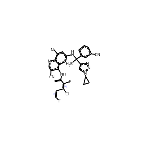 BC(Nc1cc(Cl)c2ncc(C#N)c(NC(=C)/C(F)=C(Cl)\C=C/F)c2c1)(c1cccc(C#N)c1)c1cn(C2CC2)nn1